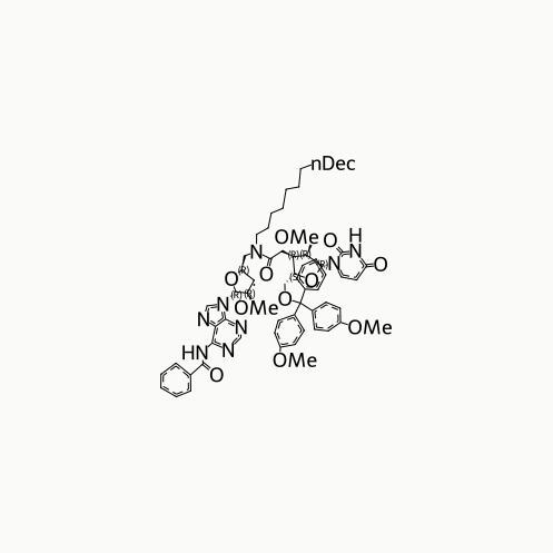 CCCCCCCCCCCCCCCCCN(C[C@H]1[CH][C@@H](OC)[C@H](n2cnc3c(NC(=O)c4ccccc4)ncnc32)O1)C(=O)C[C@H]1[C@@H](OC)[C@H](n2ccc(=O)[nH]c2=O)O[C@@H]1COC(c1ccccc1)(c1ccc(OC)cc1)c1ccc(OC)cc1